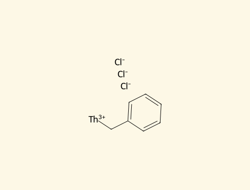 [Cl-].[Cl-].[Cl-].[Th+3][CH2]c1ccccc1